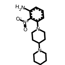 Nc1cccc(N2CCC(N3CCCCC3)CC2)c1[N+](=O)[O-]